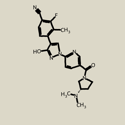 Cc1c(-c2cn(-c3ccc(C(=O)N4CC[C@H](N(C)C)C4)cn3)nc2O)ccc(C#N)c1F